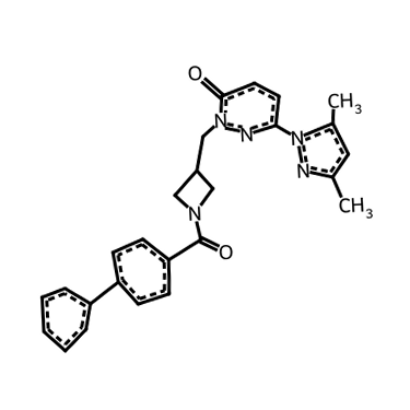 Cc1cc(C)n(-c2ccc(=O)n(CC3CN(C(=O)c4ccc(-c5ccccc5)cc4)C3)n2)n1